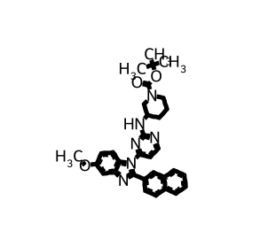 COc1ccc2c(c1)nc(-c1ccc3ccccc3c1)n2-c1ccnc(NC2CCCN(C(=O)OC(C)(C)C)C2)n1